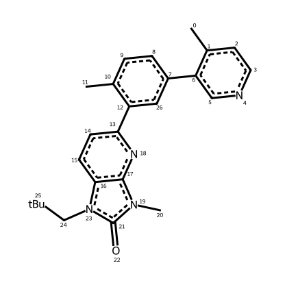 Cc1ccncc1-c1ccc(C)c(-c2ccc3c(n2)n(C)c(=O)n3CC(C)(C)C)c1